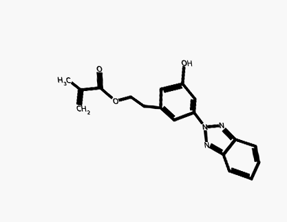 C=C(C)C(=O)OCCc1cc(O)cc(-n2nc3ccccc3n2)c1